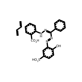 C=CC=C.O=C(O)c1ccccc1NN=C(N=Nc1cc(S(=O)(=O)O)ccc1O)c1ccccc1